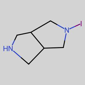 IN1CC2CNCC2C1